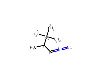 C[C](C=[N+]=[N-])[Si](C)(C)C